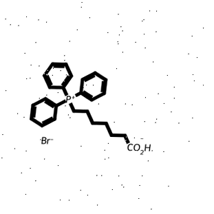 O=C(O)CCCCCC[P+](c1ccccc1)(c1ccccc1)c1ccccc1.[Br-]